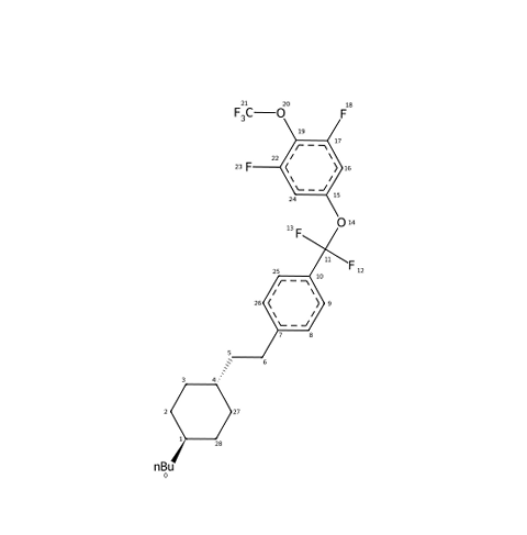 CCCC[C@H]1CC[C@H](CCc2ccc(C(F)(F)Oc3cc(F)c(OC(F)(F)F)c(F)c3)cc2)CC1